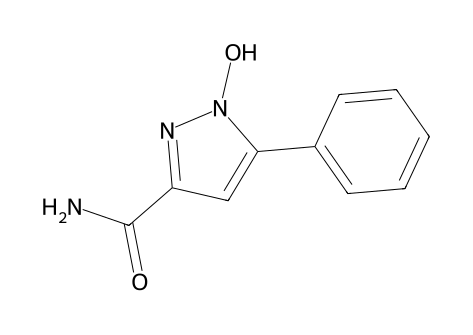 NC(=O)c1cc(-c2ccccc2)n(O)n1